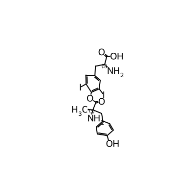 C[C@](N)(Cc1ccc(O)cc1)C(=O)Oc1c(I)cc(C[C@H](N)C(=O)O)cc1I